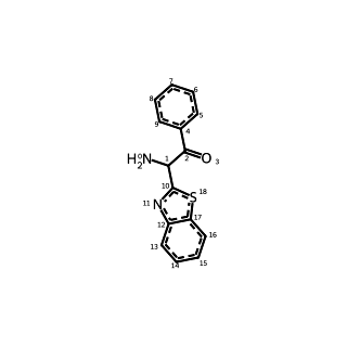 NC(C(=O)c1ccccc1)c1nc2ccccc2s1